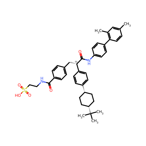 Cc1ccc(-c2ccc(NC(=O)[C@@H](Cc3ccc(C(=O)NCCS(=O)(=O)O)cc3)c3ccc([C@H]4CC[C@@H](C(C)(C)C)CC4)cc3)cc2)c(C)c1